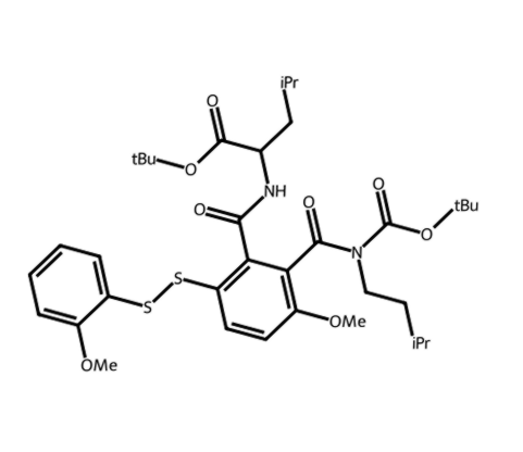 COc1ccccc1SSc1ccc(OC)c(C(=O)N(CCC(C)C)C(=O)OC(C)(C)C)c1C(=O)NC(CC(C)C)C(=O)OC(C)(C)C